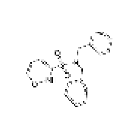 O=S(=O)(C1=CC=CON1)N(Cc1ccccc1)Cc1ccccc1